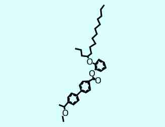 CCCCCCCCCCCC(CCC)Oc1ccccc1OC(=O)c1ccc(-c2ccc(C(C)OCC)cc2)cc1